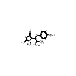 COc1ccc(SC(C(C)C(=O)O)C2C(=O)NC(=O)N2C)cc1